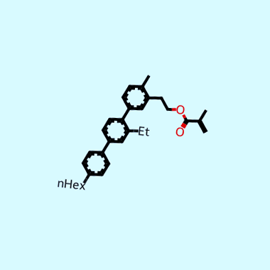 C=C(C)C(=O)OCCc1cc(-c2ccc(-c3ccc(CCCCCC)cc3)cc2CC)ccc1C